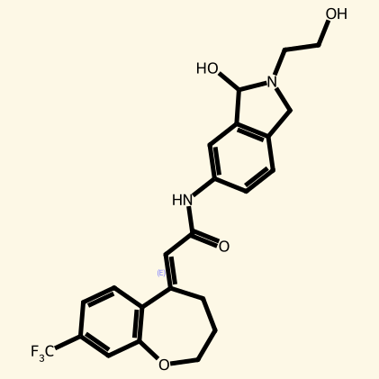 O=C(/C=C1\CCCOc2cc(C(F)(F)F)ccc21)Nc1ccc2c(c1)C(O)N(CCO)C2